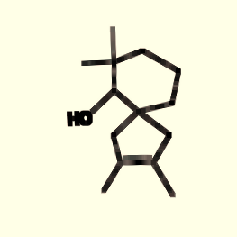 CC1=C(C)CC2(CCCC(C)(C)C2O)C1